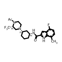 CC(=O)N1CCN([C@H]2CCC[C@@H](NC(=O)c3cc4c(F)ccc(C)c4[nH]3)C2)C[C@@H]1C(F)(F)F